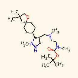 CN(CCN(C)C(=O)OC(C)(C)C)CC1=C(C2CCC3(CC2)CC(C)(C)CO3)N(C)NC1